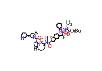 CC(C)COC(=O)[C@H](C)NP(=O)(Oc1ccccc1)[C@@H](F)c1ccc2sc(C(=O)N[C@H]3CCCC[C@H]4CC[C@@H](C(=O)N5C[C@@H](c6cccnc6)CC56CC6)N4C3=O)cc2c1